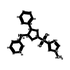 Cn1cnc(S(=O)(=O)N2CC(Nc3cccnc3)C(c3ccccc3)C2)c1